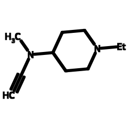 C#CN(C)C1CCN(CC)CC1